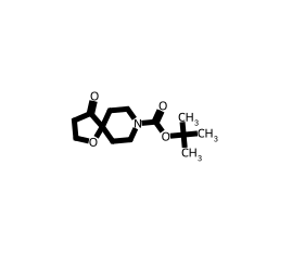 CC(C)(C)OC(=O)N1CCC2(CC1)OCCC2=O